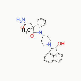 CC1(CC(N)=O)C(=O)N(C2CCN(C3c4cccc5cccc(c45)C3O)CC2)c2ccccc21